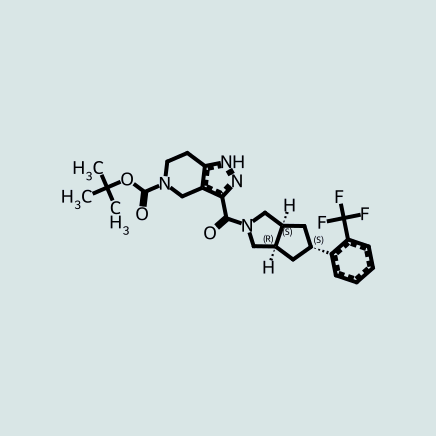 CC(C)(C)OC(=O)N1CCc2[nH]nc(C(=O)N3C[C@H]4C[C@H](c5ccccc5C(F)(F)F)C[C@H]4C3)c2C1